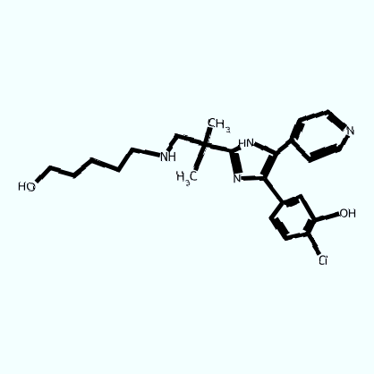 CC(C)(CNCCCCCO)c1nc(-c2ccc(Cl)c(O)c2)c(-c2ccncc2)[nH]1